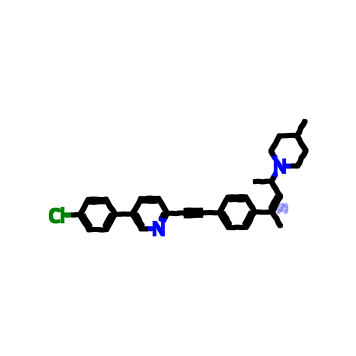 C/C(=C/C(C)N1CCC(C)CC1)c1ccc(C#Cc2ccc(-c3ccc(Cl)cc3)cn2)cc1